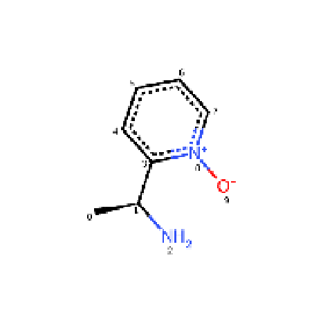 C[C@H](N)c1cccc[n+]1[O-]